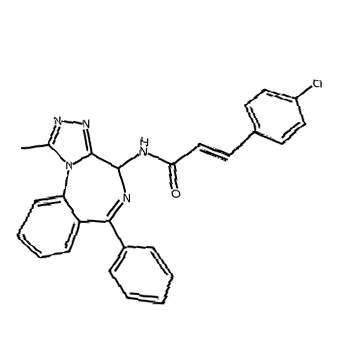 Cc1nnc2n1-c1ccccc1C(c1ccccc1)=NC2NC(=O)/C=C/c1ccc(Cl)cc1